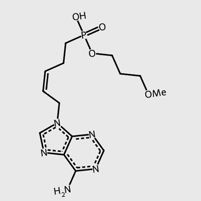 COCCCOP(=O)(O)CC/C=C\Cn1cnc2c(N)ncnc21